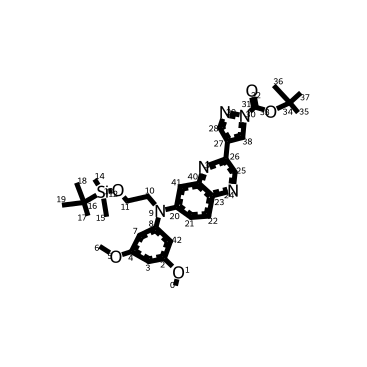 COc1cc(OC)cc(N(CCO[Si](C)(C)C(C)(C)C)c2ccc3ncc(-c4cnn(C(=O)OC(C)(C)C)c4)nc3c2)c1